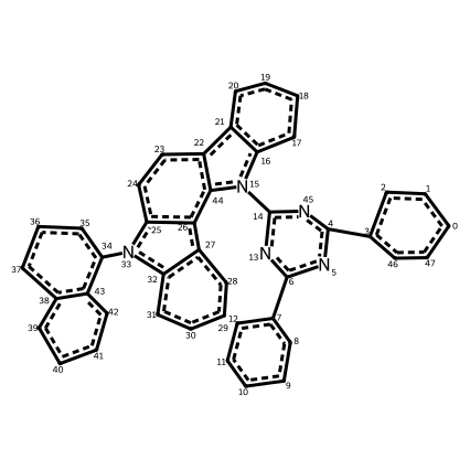 c1ccc(-c2nc(-c3ccccc3)nc(-n3c4ccccc4c4ccc5c(c6ccccc6n5-c5cccc6ccccc56)c43)n2)cc1